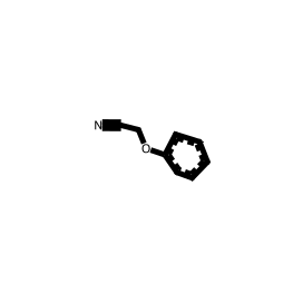 N#CCOc1c[c]c[c]c1